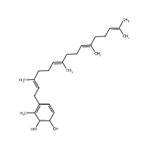 CC(C)=CCC/C(C)=C/CC/C(C)=C/CC/C(C)=C/Cc1ccc(O)c(O)c1C